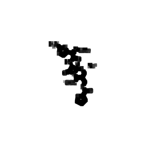 CO/N=C(\C(=O)N[C@@H]1C(=O)N2C(C(=O)[O-])=C(CSC(=O)c3ccco3)CS[C@H]12)c1csc(N)n1.[Na+]